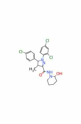 CC1C(C(=O)NN2CCCCC2O)=NN(c2ccc(Cl)cc2Cl)C1c1ccc(Cl)cc1